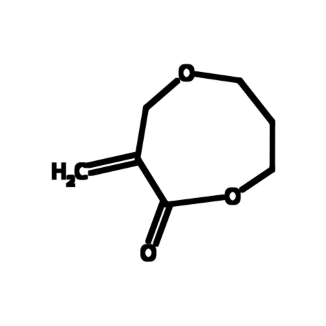 C=C1COCCCOC1=O